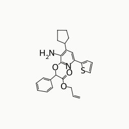 C=CCOC(=O)C(Oc1nc(-c2cccs2)cc(C2CCCC2)c1N)c1ccccc1